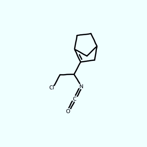 O=C=NC(CCl)C1=C2CCC(C2)C1